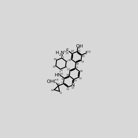 N[C@H]1CC[C@H](Nc2c(C3(C=O)CC3)cnc3ccc(-c4cc(F)c(O)c(F)c4)cc23)CC1